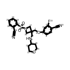 N#Cc1ccc(OCC2(CNC3CCOCC3)CN(S(=O)(=O)c3ccccc3C#N)C2)cc1F